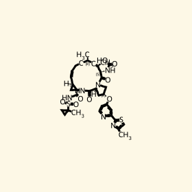 Cc1csc(-c2cc(O[C@@H]3C[C@H]4C(=O)N[C@]5(C(=O)NS(=O)(=O)C6(C)CC6)C[C@H]5C=CCC[C@@H](C)C[C@@H](C)[C@H](NC(=O)O)C(=O)N4C3)ccn2)n1